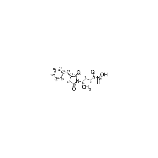 CC(CCC(=O)NO)N1C(=O)C/C(=C\c2ccccc2)C1=O